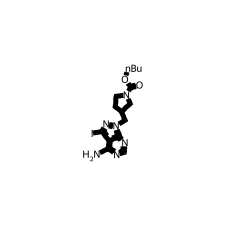 CCCCOC(=O)N1CCC(Cn2nc(I)c3c(N)ncnc32)C1